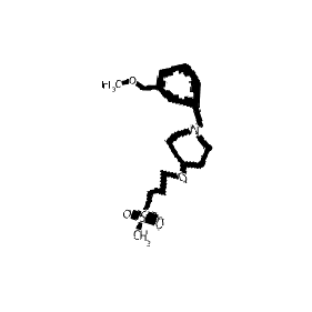 COCc1cccc(CN2CCC(OCCCS(C)(=O)=O)CC2)c1